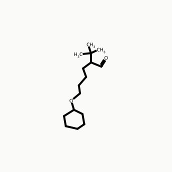 CC(C)(C)C([C]=O)CCCCOC1CC[CH]CC1